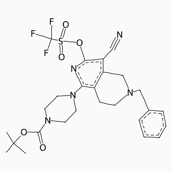 CC(C)(C)OC(=O)N1CCN(c2nc(OS(=O)(=O)C(F)(F)F)c(C#N)c3c2CCN(Cc2ccccc2)C3)CC1